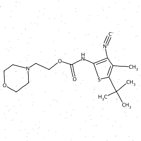 [C-]#[N+]c1c(NC(=O)OCCN2CCOCC2)sc(C(C)(C)C)c1C